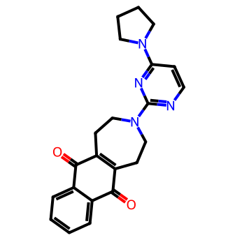 O=C1C2=C(CCN(c3nccc(N4CCCC4)n3)CC2)C(=O)c2ccccc21